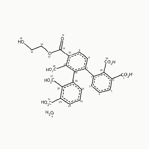 O.O=C(O)c1cccc(-c2ccc(C(=O)OCCO)c(C(=O)O)c2-c2cccc(C(=O)O)c2C(=O)O)c1C(=O)O